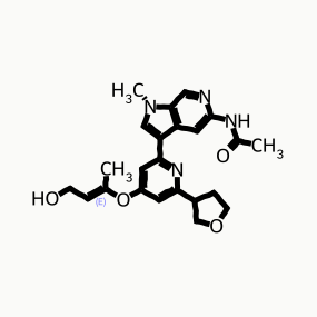 CC(=O)Nc1cc2c(-c3cc(O/C(C)=C/CO)cc(C4CCOC4)n3)cn(C)c2cn1